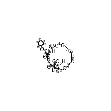 O=C1CCCCCCCCC=CCCCOC[C@@]23C[C@@H]2N(C(=O)CNC(=O)[C@H](CCOc2ccccc2)N1)[C@H](C(=O)O)C3